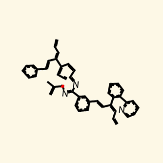 C=C/C=C(\C=C/C=N/C(=N\C(=C)C(=C)C)c1cccc(/C=C/C(=C\C=C)c2ccccc2-c2ccccn2)c1)C(/C=C/c1ccccc1)=C/C=C